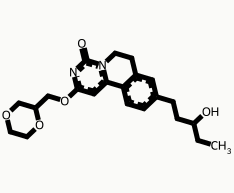 CCC(O)CCc1ccc2c(c1)CCn1c-2cc(OCC2COCCO2)nc1=O